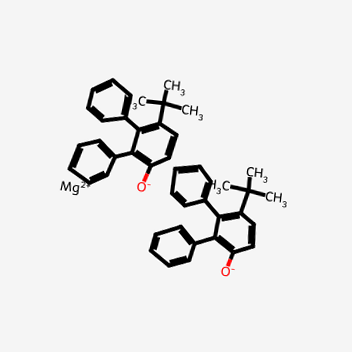 CC(C)(C)c1ccc([O-])c(-c2ccccc2)c1-c1ccccc1.CC(C)(C)c1ccc([O-])c(-c2ccccc2)c1-c1ccccc1.[Mg+2]